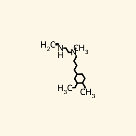 C=CNCCN(C)CCCCC1CCC(CC)C(CC)C1